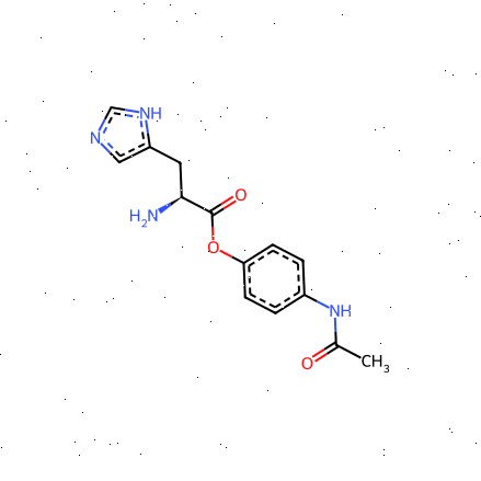 CC(=O)Nc1ccc(OC(=O)[C@@H](N)Cc2cnc[nH]2)cc1